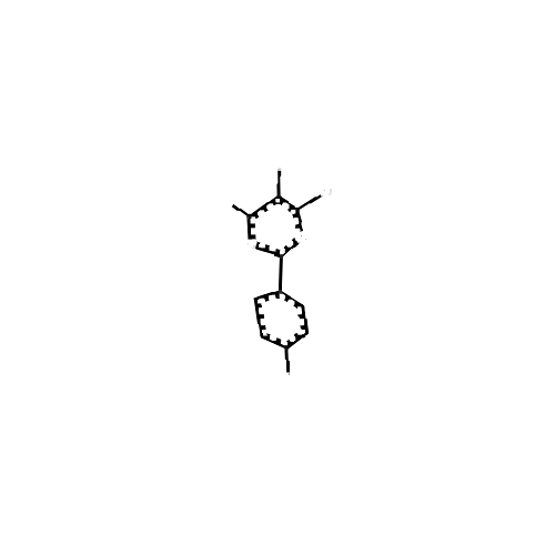 Nc1nc(-c2ccc(Cl)cc2)nc(C(=O)O)c1Cl